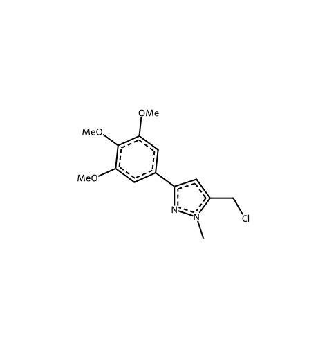 COc1cc(-c2cc(CCl)n(C)n2)cc(OC)c1OC